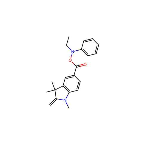 C=C1N(C)c2ccc(C(=O)ON(CC)c3ccccc3)cc2C1(C)C